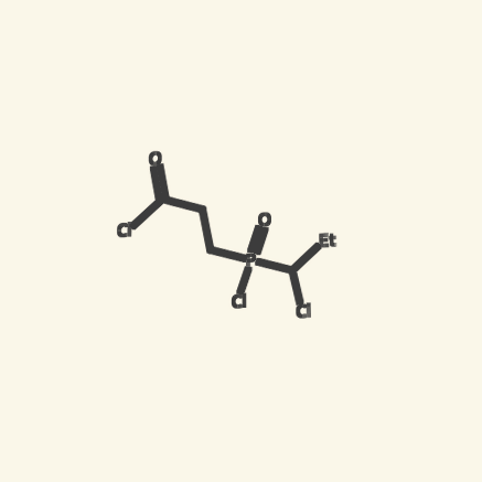 CCC(Cl)P(=O)(Cl)CCC(=O)Cl